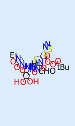 CCN1CCN(C(=O)NC(C(=O)N[C@]2(NC=O)C(=O)N3C(C(=O)OCOC(=O)C(C)(C)C)=C(CSc4nncs4)CS[C@H]32)c2ccc(O)c(O)c2)C(=O)C1=O